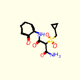 NC(=O)C(C(=O)NC1=CCCCC1=O)S(=O)(=O)CC1CC1